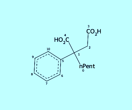 CCCCCC(CC(=O)O)(C(=O)O)c1ccccc1